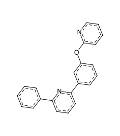 c1ccc(-c2cccc(-c3cccc(Oc4ccccn4)c3)n2)cc1